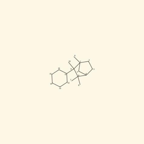 CC12CCC(C1)C(C)(C)C2(C)C1CCCCC1